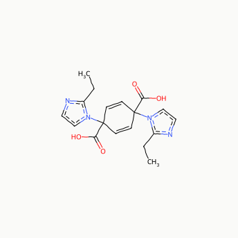 CCc1nccn1C1(C(=O)O)C=CC(C(=O)O)(n2ccnc2CC)C=C1